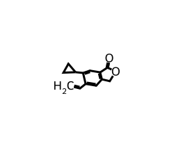 C=Cc1cc2c(cc1C1CC1)C(=O)OC2